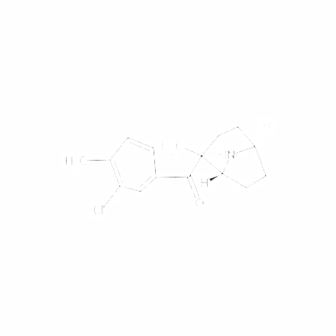 Cc1ccc(C(=O)C2(C)CC[C@H]3CC[C@H]2N3)cc1Cl